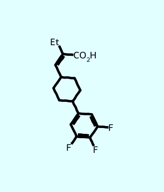 CCC(=CC1CCC(c2cc(F)c(F)c(F)c2)CC1)C(=O)O